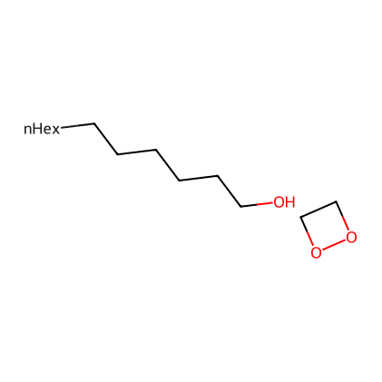 C1COO1.CCCCCCCCCCCCO